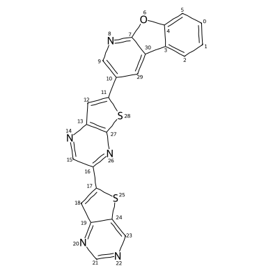 c1ccc2c(c1)oc1ncc(-c3cc4ncc(-c5cc6ncncc6s5)nc4s3)cc12